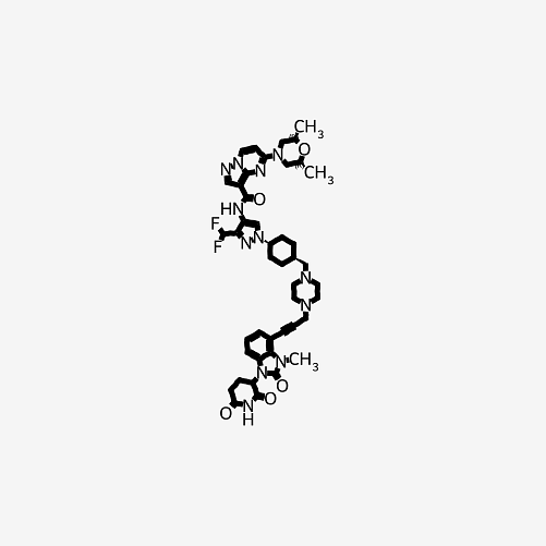 C[C@@H]1CN(c2ccn3ncc(C(=O)Nc4cn([C@H]5CC[C@H](CN6CCN(CC#Cc7cccc8c7n(C)c(=O)n8C7CCC(=O)NC7=O)CC6)CC5)nc4C(F)F)c3n2)C[C@@H](C)O1